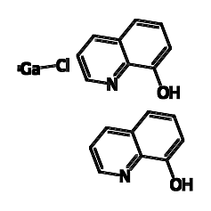 Oc1cccc2cccnc12.Oc1cccc2cccnc12.[Cl][Ga]